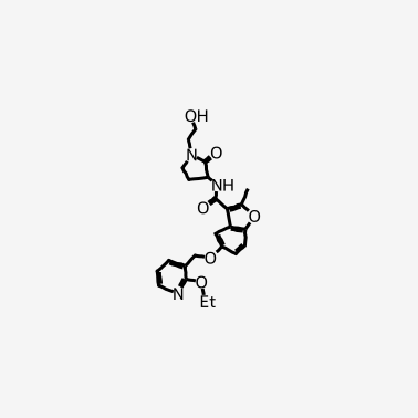 CCOc1ncccc1COc1ccc2oc(C)c(C(=O)NC3CCN(CCO)C3=O)c2c1